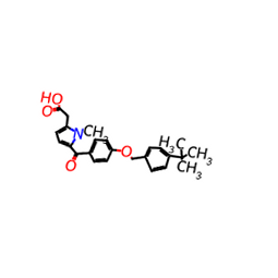 Cn1c(CC(=O)O)ccc1C(=O)c1ccc(OCc2ccc(C(C)(C)C)cc2)cc1